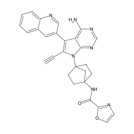 C#Cc1c(-c2cnc3ccccc3c2)c2c(N)ncnc2n1C12CCC(NC(=O)c3ncco3)(CC1)C2